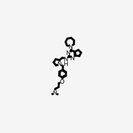 CN(C)CCCOc1ccc(CN2CCCC2CNc2nc3c(c(N4CCCCCC4)n2)CCC3)cc1